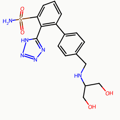 NS(=O)(=O)c1cccc(-c2ccc(CNC(CO)CO)cc2)c1-c1nnn[nH]1